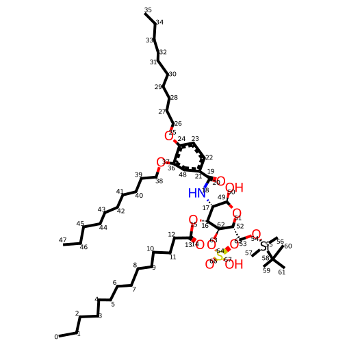 CCCCCCCCCCCCCC(=O)O[C@@H]1[C@H](NC(=O)c2ccc(OCCCCCCCCCC)c(OCCCCCCCCCC)c2)[C@@H](O)O[C@H](CO[Si](C)(C)C(C)(C)C)[C@H]1OS(=O)(=O)O